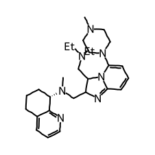 CCN(CC)CC1C(CN(C)[C@H]2CCCc3cccnc32)N=C2C=CC=C(N3CCN(C)CC3)N21